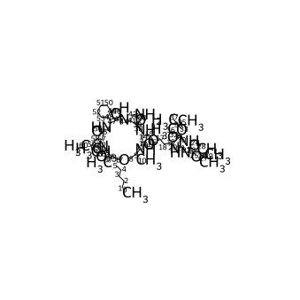 CCCCCC[C@H]1OC[C@@H](C)NC(=O)[C@H](COCCCN=C(NC(=O)OC(C)(C)C)NC(=O)OC(C)(C)C)NC(=O)[C@H](CN)NC(=O)[C@H](C2CCCCC2)NC(=O)[C@H](CC(C)C)N(C)C(=O)[C@@H]1C